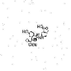 CC(C)COC(=O)Nc1cc(O)ccc1S(=O)(=O)Nc1ccc2c(c1)B(O)OC2